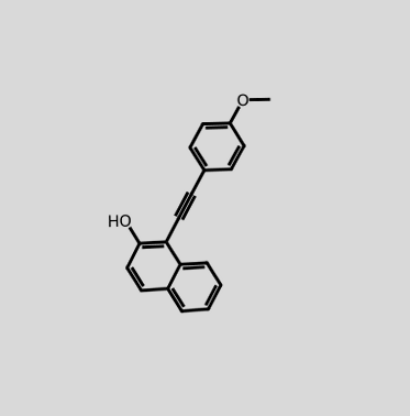 COc1ccc(C#Cc2c(O)ccc3ccccc23)cc1